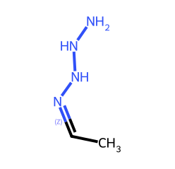 C/C=N\NNN